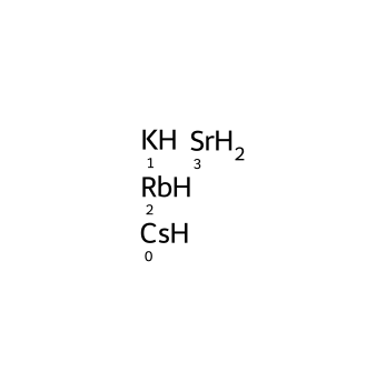 [CsH].[KH].[RbH].[SrH2]